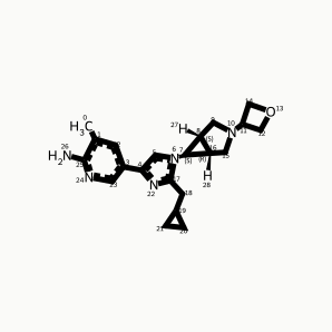 Cc1cc(-c2cn([C@H]3[C@@H]4CN(C5COC5)C[C@@H]43)c(CC3CC3)n2)cnc1N